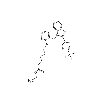 CCOC(=O)CCCCCOc1ccccc1Cn1c(-c2ccc(C(F)(F)F)cc2)nc2ccccc21